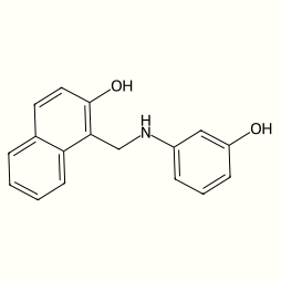 Oc1cccc(NCc2c(O)ccc3ccccc23)c1